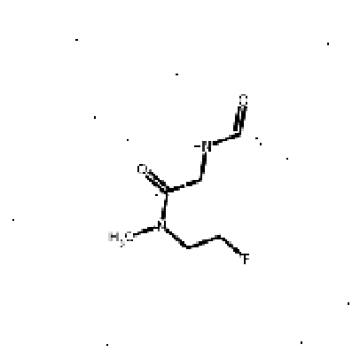 CN(CCF)C(=O)CNC=O